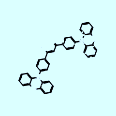 O=C(C=C(O)c1ccc(N2c3ccccc3Oc3ccccc32)cc1)c1ccc(N2c3ccccc3Oc3ccccc32)cc1